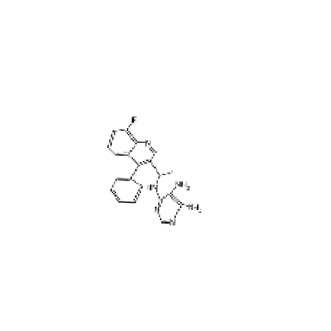 CC(Nc1ncnc(N)c1N)c1cnc2c(F)cccc2c1-c1ccccc1